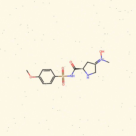 COc1ccc(S(=O)(=O)NC(=O)[C@H]2C/C(=[N+](/C)O)CN2)cc1